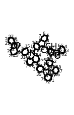 CC1(C)c2ccccc2-c2ccc(N(c3ccc(-c4cccc5c4oc4ccccc45)cc3)c3ccc(-c4ccc5c(c4)C(c4ccccc4)(c4ccc(-c6cccc7c6oc6ccccc67)cc4)c4ccccc4-5)c4ccccc34)cc21